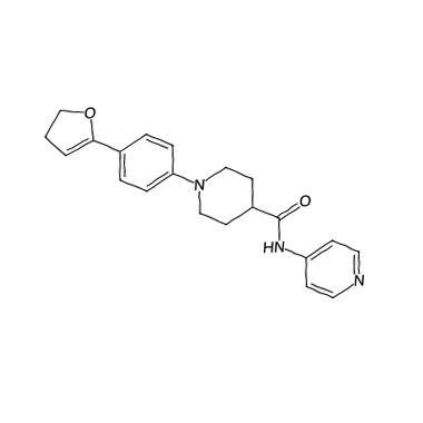 O=C(Nc1ccncc1)C1CCN(c2ccc(C3=CCCO3)cc2)CC1